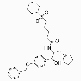 O=C(CCCCS(=O)(=O)C1CCCCC1)N[C@H](CN1CCCC1)[C@@H](O)c1ccc(OCc2ccccc2)cc1